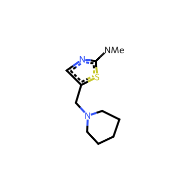 CNc1ncc(CN2CCCCC2)s1